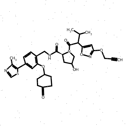 C#CCOc1cc(C(C(=O)N2CC(O)C[C@H]2C(=O)NCc2ccc(-c3scnc3C)cc2OC2CCC(=O)CC2)C(C)C)on1